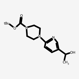 CC(O)c1ccc(N2CCN(C(=O)OC(C)(C)C)CC2)nc1